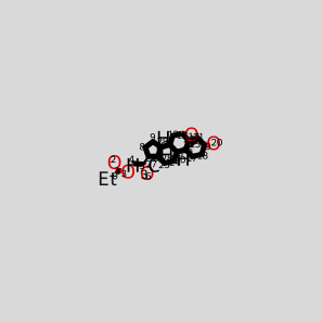 CCC(=O)OCC(=O)[C@H]1CC[C@H]2[C@@H]3CC4OC[C@@]5(CCC(=O)C=C45)[C@H]3CC[C@]12C